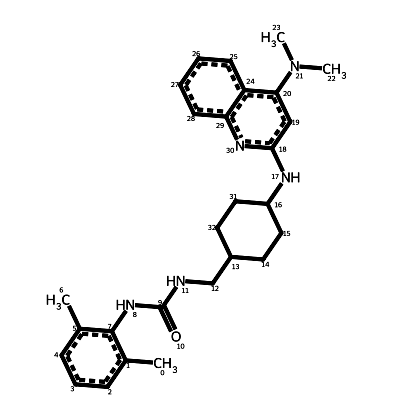 Cc1cccc(C)c1NC(=O)NCC1CCC(Nc2cc(N(C)C)c3ccccc3n2)CC1